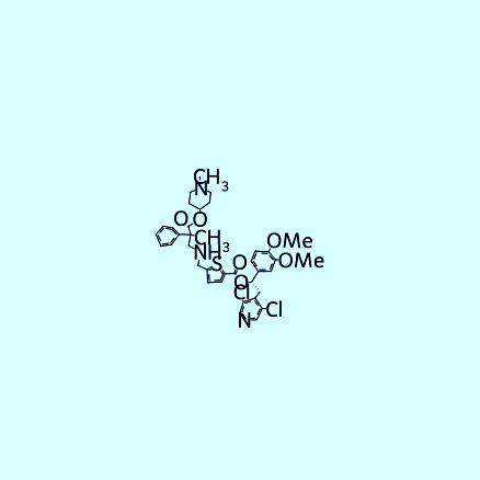 COc1ccc([C@H](Cc2c(Cl)cncc2Cl)OC(=O)c2ccc(CNCC(C)(C(=O)OC3CCN(C)CC3)c3ccccc3)s2)cc1OC